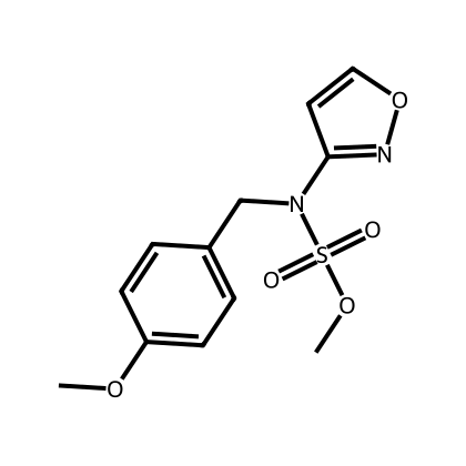 COc1ccc(CN(c2ccon2)S(=O)(=O)OC)cc1